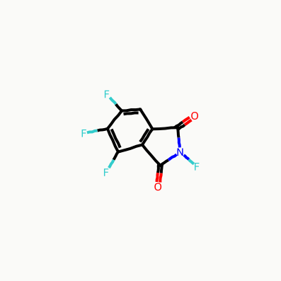 O=C1c2cc(F)c(F)c(F)c2C(=O)N1F